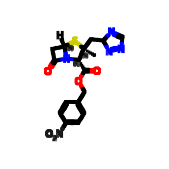 C[C@@]1(CC2N=CN=N2)S[C@H]2CC(=O)N2[C@H]1C(=O)OCc1ccc([N+](=O)[O-])cc1